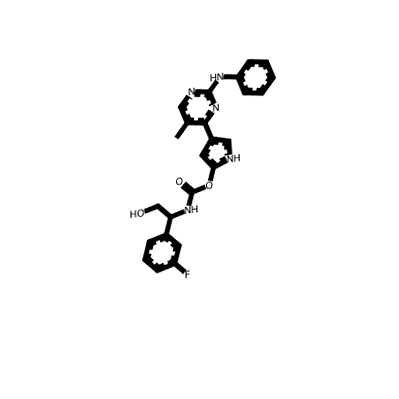 Cc1cnc(Nc2ccccc2)nc1-c1c[nH]c(OC(=O)NC(CO)c2cccc(F)c2)c1